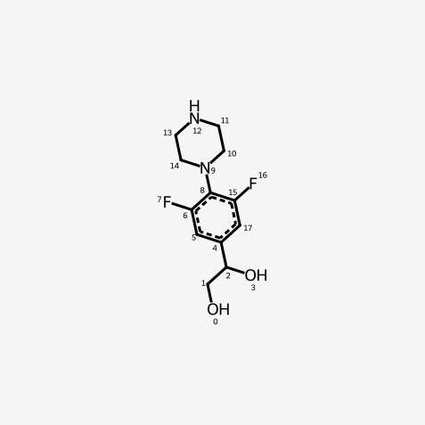 OCC(O)c1cc(F)c(N2CCNCC2)c(F)c1